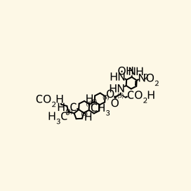 C[C@H](CCC(=O)O)C1CC[C@H]2C3CCC4C[C@@H](OC(=O)[C@H](CC(=O)O)NC5CC=C([N+](=O)[O-])C(N)C5NO)CC[C@]4(C)[C@H]3CCC12C